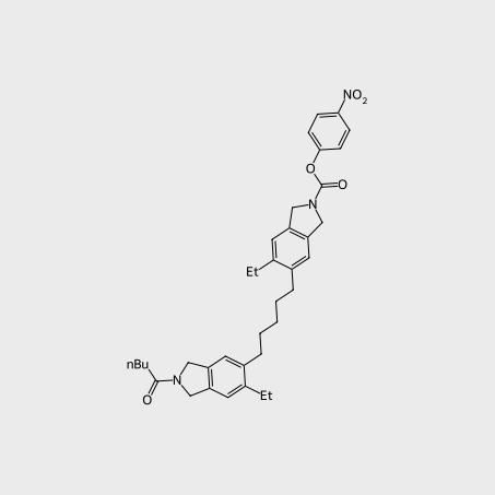 CCCCC(=O)N1Cc2cc(CC)c(CCCCCc3cc4c(cc3CC)CN(C(=O)Oc3ccc([N+](=O)[O-])cc3)C4)cc2C1